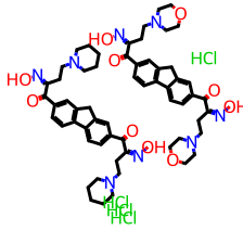 Cl.Cl.Cl.Cl.O=C(/C(CCN1CCCCC1)=N\O)c1ccc2c(c1)Cc1cc(C(=O)/C(CCN3CCCCC3)=N\O)ccc1-2.O=C(/C(CCN1CCOCC1)=N\O)c1ccc2c(c1)Cc1cc(C(=O)/C(CCN3CCOCC3)=N\O)ccc1-2